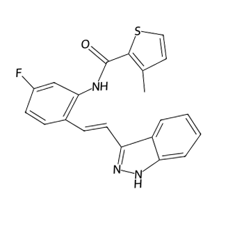 Cc1ccsc1C(=O)Nc1cc(F)ccc1/C=C/c1n[nH]c2ccccc12